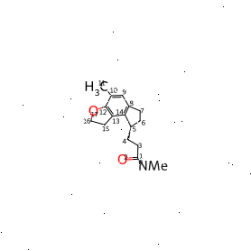 CNC(=O)CC[C@@H]1CCc2cc(C)c3c(c21)CCO3